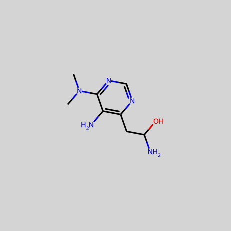 CN(C)c1ncnc(CC(N)O)c1N